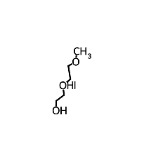 COCCOCCO.I